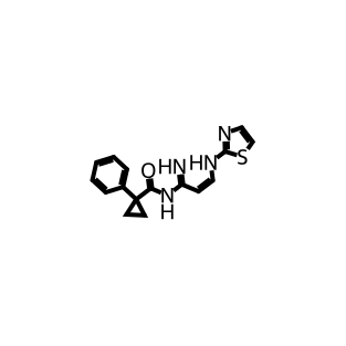 N=C(/C=C\Nc1nccs1)NC(=O)C1(c2ccccc2)CC1